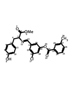 COC(=O)C(Cc1ccc(O)cc1)N=Cc1cc(Cl)cc(OC(=O)c2cccc(C)c2)c1